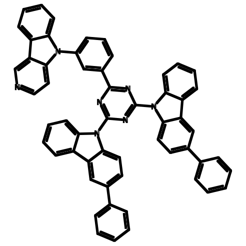 c1ccc(-c2ccc3c(c2)c2ccccc2n3-c2nc(-c3cccc(-n4c5ccccc5c5cnccc54)c3)nc(-n3c4ccccc4c4cc(-c5ccccc5)ccc43)n2)cc1